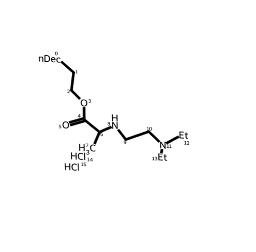 CCCCCCCCCCCCOC(=O)C(C)NCCN(CC)CC.Cl.Cl